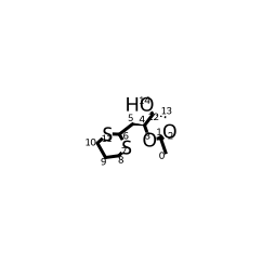 CC(=O)O[C@@H](CC1SCCCS1)[C@@H](C)O